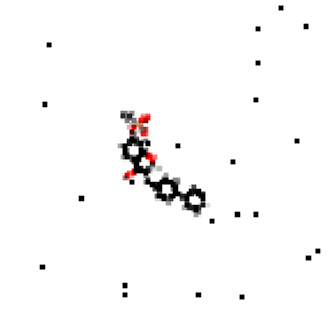 O=c1c(Cc2ccc(-c3ccccc3)cc2)coc2cc(OS(=O)(=O)C(F)(F)F)ccc12